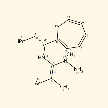 CC(=O)/C(C)=C(\N[C@H](CC(C)C)C1=CC=CC=CC1)N(C)N